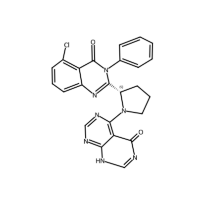 O=c1nc[nH]c2ncnc(N3CCC[C@H]3c3nc4cccc(Cl)c4c(=O)n3-c3ccccc3)c12